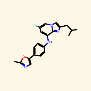 Cc1ncc(-c2ccc(Nc3cc(F)cn4cc(CC(C)C)nc34)cc2)o1